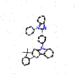 CC1(C)c2ccccc2-c2cc3c4ccccc4n(-c4ccc(-c5nc6ccccc6n5-c5ccccc5)cc4)c3cc21